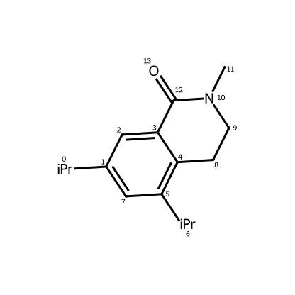 CC(C)c1cc2c(c(C(C)C)c1)CCN(C)C2=O